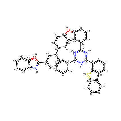 c1ccc(-c2nc(-c3cccc4c3sc3ccccc34)nc(-c3cccc4oc5ccc(-c6cccc(-c7nc8ccccc8o7)c6)cc5c34)n2)cc1